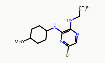 CCOC(=O)CNc1ncc(Br)nc1NC1CCC(OC)CC1